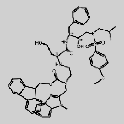 COc1ccc(S(=O)(=O)N(CC(C)C)C[C@@H](O)[C@H](Cc2ccccc2)NC(=O)[C@H](CCO)NCCN(Cc2nc3ccccc3n2C)C(=O)OCC2c3ccccc3-c3ccccc32)cc1